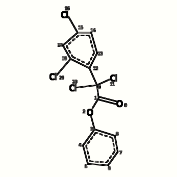 O=C(Oc1ccccc1)C(Cl)(Cl)c1ccc(Cl)cc1Cl